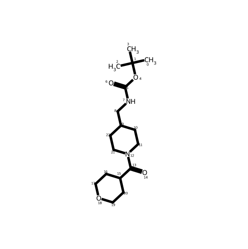 CC(C)(C)OC(=O)NCC1CCN(C(=O)C2CCOCC2)CC1